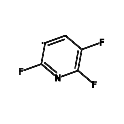 Fc1[c]cc(F)c(F)n1